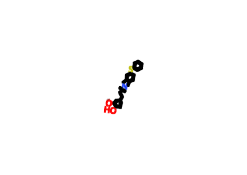 COc1cc(CCC(C)(C)N2Cc3ccc(Sc4ccccc4)cc3C2)ccc1O